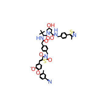 COc1cc(/C=C2\SC(=O)N(Cc3ccc(CC(=O)N[C@H](C(=O)N4C[C@H](O)CC4C(=O)NCc4ccc(-c5scnc5C)cc4)C(C)(C)C)cc3)C2=O)ccc1Oc1ccc(C#N)cc1C